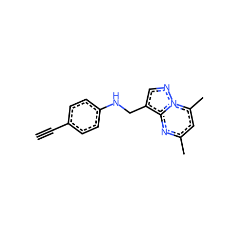 C#Cc1ccc(NCc2cnn3c(C)cc(C)nc23)cc1